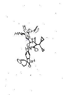 CC(C)N/C(=C\C=N)C(=O)NC(C(=O)Nc1ccc2c(c1)NC(=O)C21CCOCC1)C(C1CC1)C1CC1